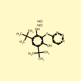 CC(C)(C)c1cc(C(C)(C)C)c(O)[c]([Ti][c]2ccnnn2)c1O.Cl.Cl